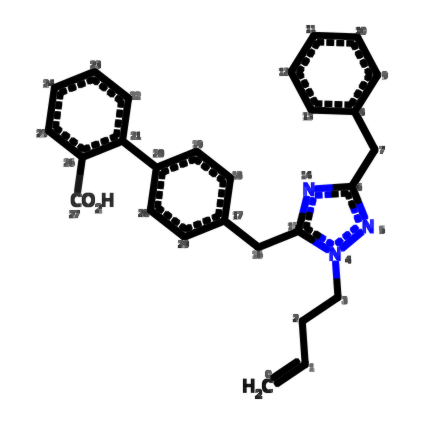 C=CCCn1nc(Cc2ccccc2)nc1Cc1ccc(-c2ccccc2C(=O)O)cc1